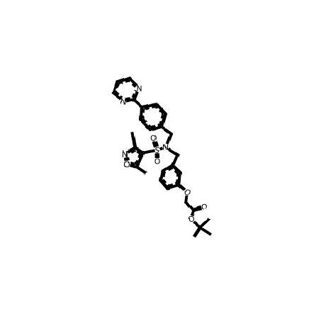 Cc1noc(C)c1S(=O)(=O)N(Cc1ccc(-c2ncccn2)cc1)Cc1cccc(OCC(=O)OC(C)(C)C)c1